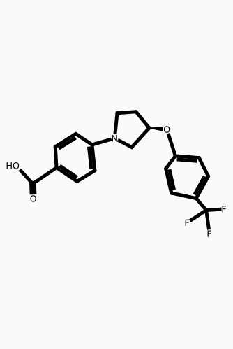 O=C(O)c1ccc(N2CC[C@@H](Oc3ccc(C(F)(F)F)cc3)C2)cc1